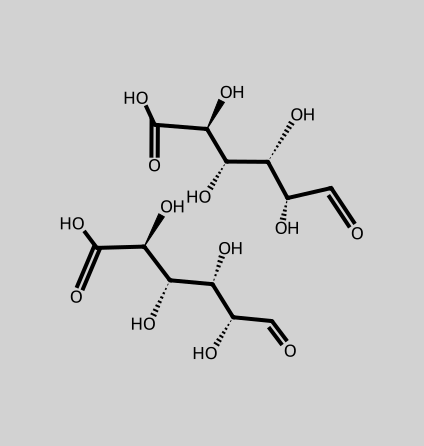 O=C[C@H](O)[C@@H](O)[C@H](O)[C@H](O)C(=O)O.O=C[C@H](O)[C@@H](O)[C@H](O)[C@H](O)C(=O)O